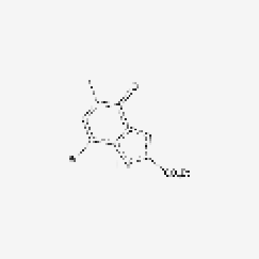 CCOC(=O)c1cc2c(=O)n(C)cc(Br)c2[nH]1